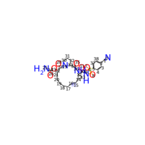 N#Cc1ccc(S(=O)(=O)NC(=O)C23CC2/C=C/CCCCCC(OC(N)=O)C(=O)N2CCCC2C(=O)N3)cc1